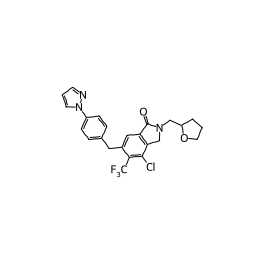 O=C1c2cc(Cc3ccc(-n4cccn4)cc3)c(C(F)(F)F)c(Cl)c2CN1CC1CCCO1